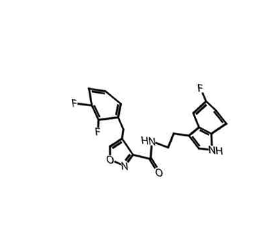 O=C(NCCc1c[nH]c2ccc(F)cc12)c1nocc1Cc1cccc(F)c1F